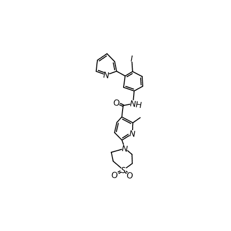 Cc1nc(N2CCS(=O)(=O)CC2)ccc1C(=O)Nc1ccc(I)c(-c2ccccn2)c1